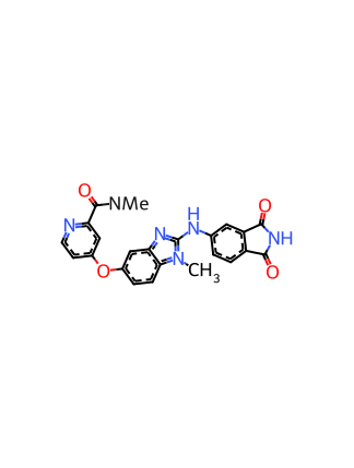 CNC(=O)c1cc(Oc2ccc3c(c2)nc(Nc2ccc4c(c2)C(=O)NC4=O)n3C)ccn1